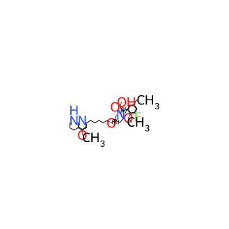 CCc1cc(F)c(OC)c([C@H](C(=O)O)N2CC[C@@H](OCCCCCc3cc(OC)c4c(n3)NCCC4)C2)c1